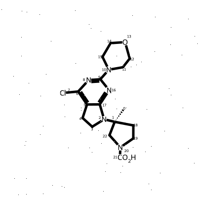 C[C@]1(N2CCc3c(Cl)nc(N4CCOCC4)nc32)CCN(C(=O)O)C1